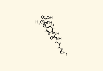 CCCCCNC(=O)Nc1ccc(OC(C)(C)C(=O)O)cc1